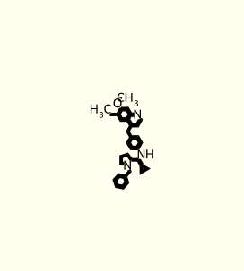 CCc1cc2c(Cc3ccc(NC(=C4CC4)C4CCCN4Cc4ccccc4)cc3)ccnc2cc1OC